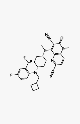 Cn1c(=O)c(C#N)c(N(C)[C@H]2CC[C@@H](N(CC3CCC3)c3ccc(F)cc3C(F)F)CC2)c2nc(C#N)ccc21